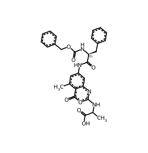 Cc1cc(NC(=O)[C@H](Cc2ccccc2)NC(=O)OCc2ccccc2)cc2nc(NC(C)C(=O)O)oc(=O)c12